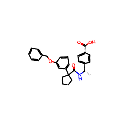 C[C@H](NC(=O)C1(c2cccc(OCc3ccccc3)c2)CCCC1)c1ccc(C(=O)O)cc1